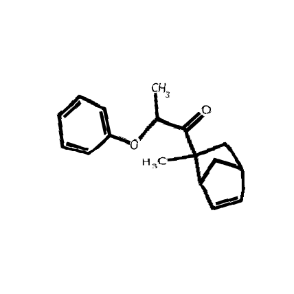 CC(Oc1ccccc1)C(=O)C1(C)CC2C=CC1C2